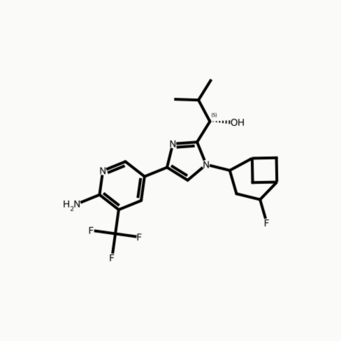 CC(C)[C@H](O)c1nc(-c2cnc(N)c(C(F)(F)F)c2)cn1C1CC(F)C2CC1C2